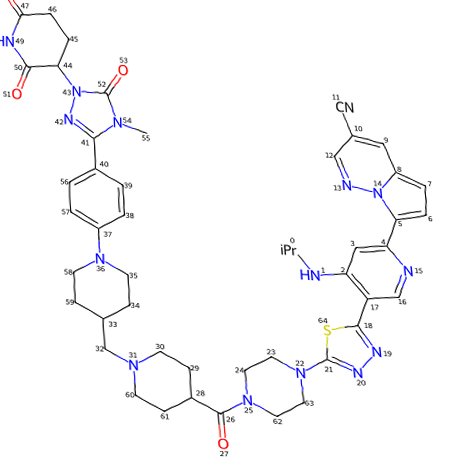 CC(C)Nc1cc(-c2ccc3cc(C#N)cnn23)ncc1-c1nnc(N2CCN(C(=O)C3CCN(CC4CCN(c5ccc(-c6nn(C7CCC(=O)NC7=O)c(=O)n6C)cc5)CC4)CC3)CC2)s1